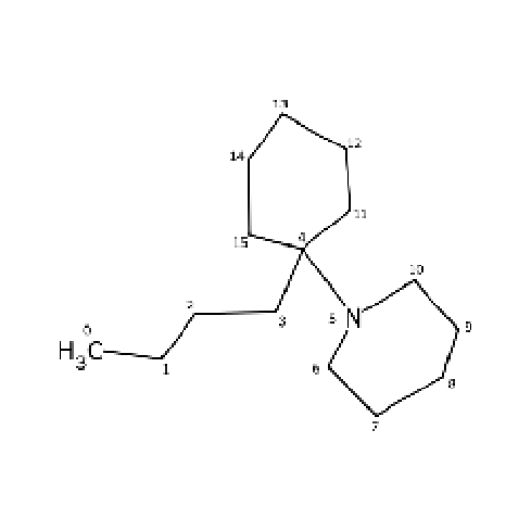 CCCCC1(N2CCCCC2)CCCCC1